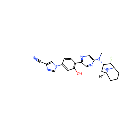 CN(c1cnc(-c2ccc(-n3cnc(C#N)c3)cc2O)cn1)[C@H]1C[C@@H]2CCCC(N2)[C@H]1F